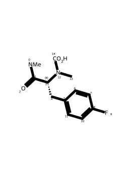 CNC(=O)[C@@H](Cc1ccc(F)cc1)N(C)C(=O)O